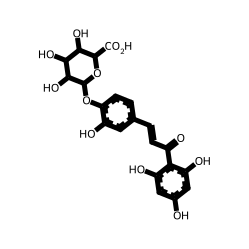 O=C(C=Cc1ccc(OC2OC(C(=O)O)C(O)C(O)C2O)c(O)c1)c1c(O)cc(O)cc1O